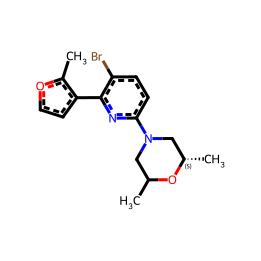 Cc1occc1-c1nc(N2CC(C)O[C@@H](C)C2)ccc1Br